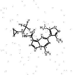 Cc1nsc(C)c1-c1cc(C)n2ncc(C(=O)N[C@H](C3CC3)C(F)(F)F)c2n1